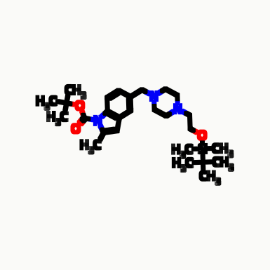 Cc1cc2cc(CN3CCN(CCO[Si](C)(C)C(C)(C)C)CC3)ccc2n1C(=O)OC(C)(C)C